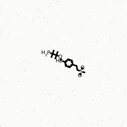 CC(C)(P)C(C)(C)OBc1ccc(CCS(C)(=O)=O)cc1